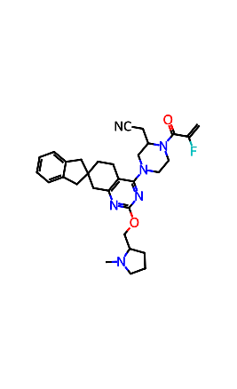 C=C(F)C(=O)N1CCN(c2nc(OCC3CCCN3C)nc3c2CCC2(Cc4ccccc4C2)C3)CC1CC#N